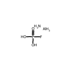 N.O=P(O)(O)F.[AlH3]